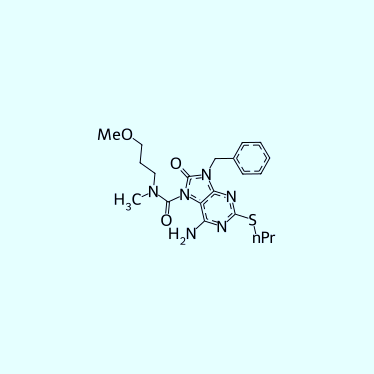 CCCSc1nc(N)c2c(n1)n(Cc1ccccc1)c(=O)n2C(=O)N(C)CCCOC